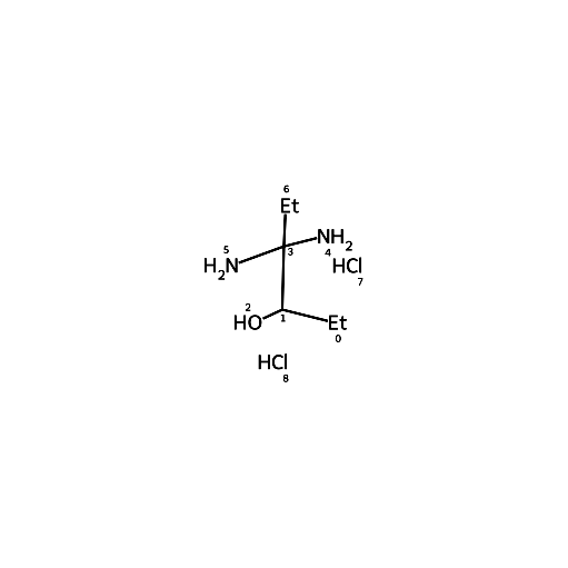 CCC(O)C(N)(N)CC.Cl.Cl